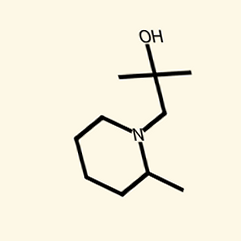 CC1CCCCN1CC(C)(C)O